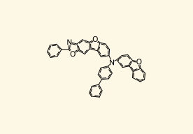 c1ccc(-c2ccc(N(c3ccc4oc5ccccc5c4c3)c3ccc4oc5cc6nc(-c7ccccc7)oc6cc5c4c3)cc2)cc1